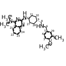 COc1ccc(CNC[C@H]2CC[C@@H](Nc3nc(N(C)C)c4ccccc4n3)CC2)cc1C